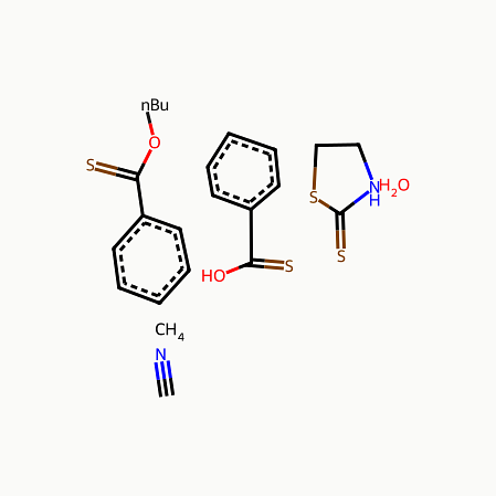 C.C#N.CCCCOC(=S)c1ccccc1.O.OC(=S)c1ccccc1.S=C1NCCS1